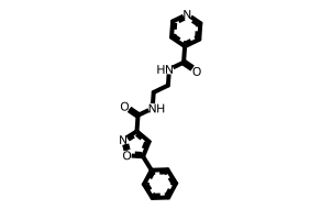 O=C(NCCNC(=O)c1cc(-c2ccccc2)on1)c1ccncc1